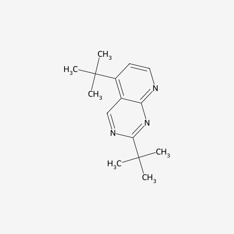 CC(C)(C)c1ncc2c(C(C)(C)C)ccnc2n1